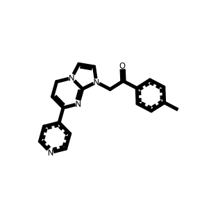 Cc1ccc(C(=O)CN2C=CN3CC=C(c4ccncc4)N=C32)cc1